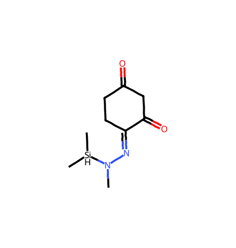 CN(N=C1CCC(=O)CC1=O)[SiH](C)C